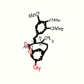 COc1cc2cc(O)c1OC(=O)/C(=C/c1cc(OC)c(OC)c(OC)c1)[C@@H](C)C2